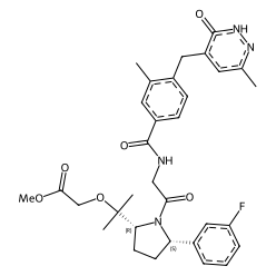 COC(=O)COC(C)(C)[C@H]1CC[C@@H](c2cccc(F)c2)N1C(=O)CNC(=O)c1ccc(Cc2cc(C)n[nH]c2=O)c(C)c1